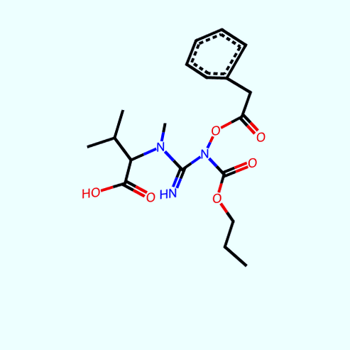 CCCOC(=O)N(OC(=O)Cc1ccccc1)C(=N)N(C)C(C(=O)O)C(C)C